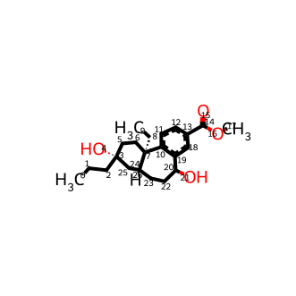 CCC[C@@]1(O)CC[C@@]2(CC)c3ccc(C(=O)OC)cc3C(O)CC[C@H]2C1